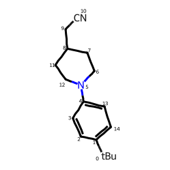 CC(C)(C)c1ccc(N2CCC(CC#N)CC2)cc1